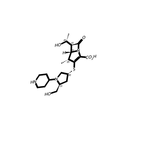 C[C@@H](O)[C@H]1C(=O)N2C(C(=O)O)=C(S[C@@H]3C[C@@H](CO)N(C4CCNCC4)C3)[C@H](C)[C@H]12